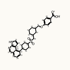 O=C(O)c1ccc(OCC2CCCC(CS(=O)(=O)C3CCC(c4ccnc5cnc6[nH]ccc6c45)CC3)C2)cc1